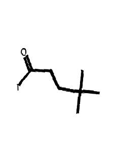 CC(C)(C)CCC(=O)I